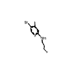 Cc1cc(NCCCF)ncc1Br